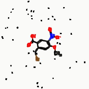 COc1cc(CBr)c(C(=O)O)cc1[N+](=O)[O-]